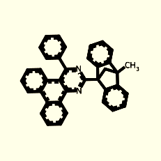 CC12CC(c3nc(-c4ccccc4)c4c5ccccc5c5ccccc5c4n3)(c3ccccc31)c1ccccc12